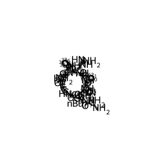 CCCC[C@H](NC(=O)[C@@H](N)CCN)C(=O)N[C@H]1CCC(=O)NCCCC[C@@H](C(N)=O)NC(=O)[C@H](Cc2c[nH]c3ccccc23)NC(=O)[C@H](CCCNC(=N)N)NC(=O)[C@@H](Cc2ccccc2)NC(=O)[C@H](Cc2cccnc2)NC1=O